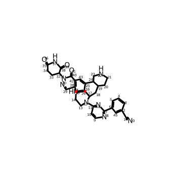 N#Cc1cccc(-c2nccc(N3CCNCC3CC3CCNCC3c3ccc4cnn(C5CCC(=O)NC5=O)c(=O)c4c3)n2)c1